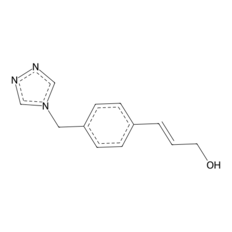 OCC=Cc1ccc(Cn2cnnc2)cc1